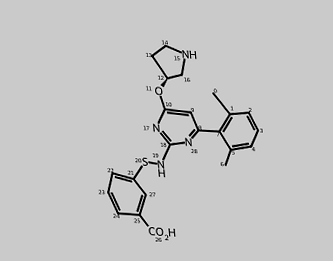 Cc1cccc(C)c1-c1cc(O[C@H]2CCNC2)nc(NSc2cccc(C(=O)O)c2)n1